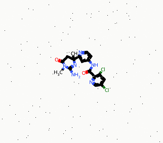 CN1C(=O)CC(C)(c2cc(NC(=O)c3ncc(Cl)cc3Cl)ccn2)N=C1N